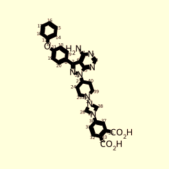 Nc1ncnc2c1c(-c1ccc(Oc3ccccc3)cc1)nn2C1CCN(N2CN(c3ccc(C(=O)O)c(C(=O)O)c3)C2)CC1